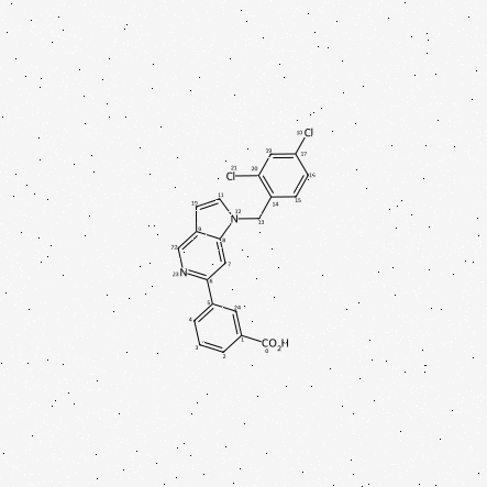 O=C(O)c1cccc(-c2cc3c(ccn3Cc3ccc(Cl)cc3Cl)cn2)c1